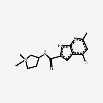 Cc1cc(Cl)c2cc(C(=O)NC3CC[Si](C)(C)C3)[nH]c2n1